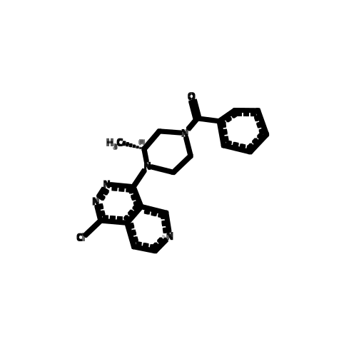 C[C@@H]1CN(C(=O)c2ccccc2)CCN1c1nnc(Cl)c2ccncc12